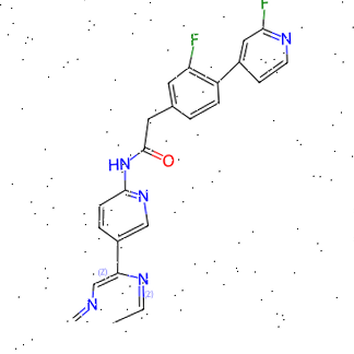 C=N/C=C(\N=C/C)c1ccc(NC(=O)Cc2ccc(-c3ccnc(F)c3)c(F)c2)nc1